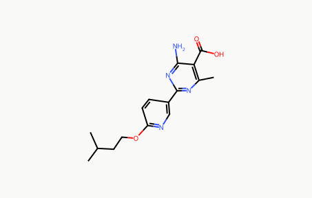 Cc1nc(-c2ccc(OCCC(C)C)nc2)nc(N)c1C(=O)O